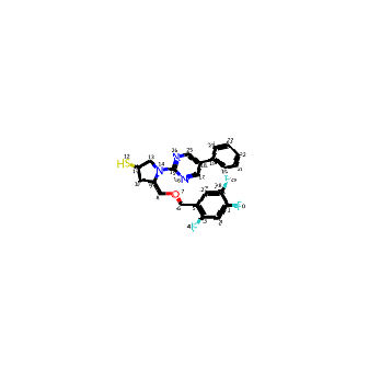 Fc1cc(F)c(COCC2CC(S)CN2c2ncc(-c3ccccc3)cn2)cc1F